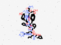 CC[C@H](C)[C@H](NC(=O)[C@H](CCCNC(=N)N)NC(=O)[C@H](Cc1ccccc1)NC(=O)[C@H](Cc1ccccc1)NC(=O)[C@H](Cc1ccccc1)NC(=O)[C@H](Cc1ccc(O)cc1)NC(=O)[C@H](CCC(=O)O)NC(=O)[C@@H](N)CC(N)=O)C(=O)N[C@@H](Cc1ccccc1)C(=O)O